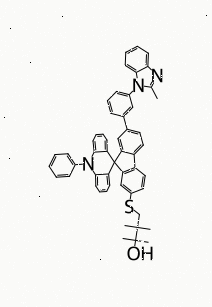 Cc1nc2ccccc2n1-c1cccc(-c2ccc3c(c2)C2(c4cc(SCC(C)(C)C(C)(C)O)ccc4-3)c3ccccc3N(c3ccccc3)c3ccccc32)c1